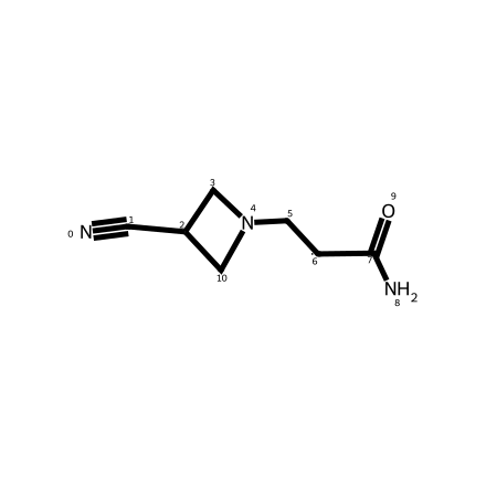 N#CC1CN(C[CH]C(N)=O)C1